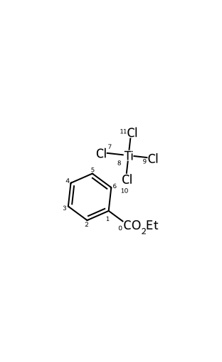 CCOC(=O)c1ccccc1.[Cl][Ti]([Cl])([Cl])[Cl]